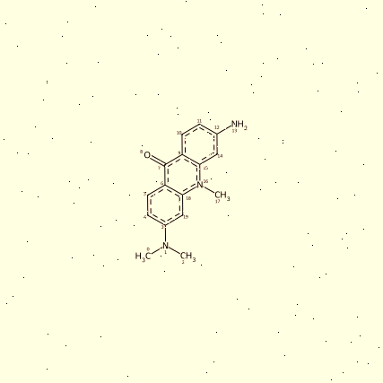 CN(C)c1ccc2c(=O)c3ccc(N)cc3n(C)c2c1